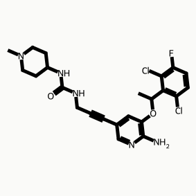 CC(Oc1cc(C#CCNC(=O)NC2CCN(C)CC2)cnc1N)c1c(Cl)ccc(F)c1Cl